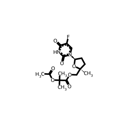 CC(=O)OC(C)(C)C(=O)OC[C@]1(C)CC[C@H](n2cc(F)c(=O)[nH]c2=O)O1